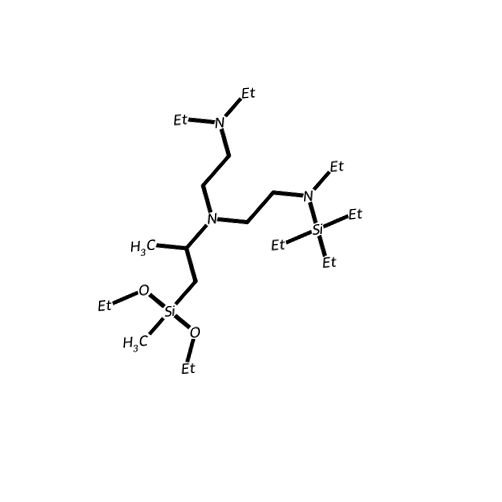 CCO[Si](C)(CC(C)N(CCN(CC)CC)CCN(CC)[Si](CC)(CC)CC)OCC